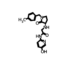 Cc1ccc(CN2CC[C@@H](NCC(=O)Nc3ccc(O)cn3)C2=O)cc1